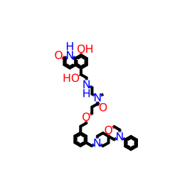 CN(CCNC[C@H](O)c1ccc(O)c2[nH]c(=O)ccc12)C(=O)CCOCCc1cccc(CN2CCC3(CC2)CN(c2ccccc2)CCO3)c1